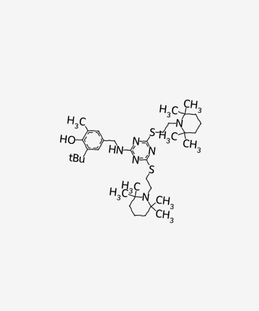 Cc1cc(CNc2nc(SCCN3C(C)(C)CCCC3(C)C)nc(SCCN3C(C)(C)CCCC3(C)C)n2)cc(C(C)(C)C)c1O